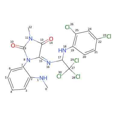 CNc1ccccc1N1C(=O)N(C)C(=O)C1=NC(Nc1ccc(Cl)cc1Cl)C(Cl)(Cl)Cl